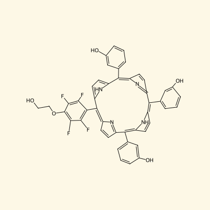 OCCOc1c(F)c(F)c(-c2c3nc(c(-c4cccc(O)c4)c4ccc([nH]4)c(-c4cccc(O)c4)c4nc(c(-c5cccc(O)c5)c5ccc2[nH]5)C=C4)C=C3)c(F)c1F